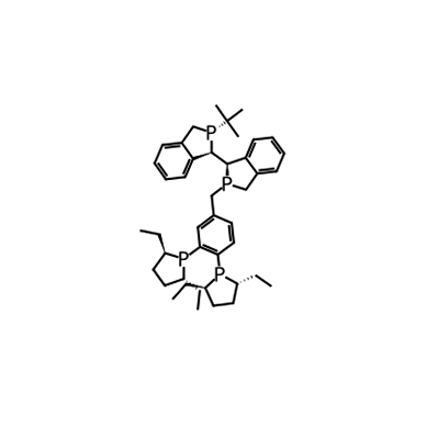 CC[C@@H]1CC[C@@H](CC)P1c1ccc(CP2Cc3ccccc3[C@@H]2[C@H]2c3ccccc3C[P@]2C(C)(C)C)cc1P1[C@H](CC)CC[C@H]1CC